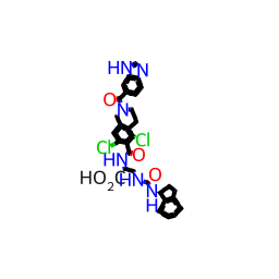 O=C(NC[C@H](NC(=O)c1c(Cl)cc2c(c1Cl)CCN(C(=O)c1ccc3nc[nH]c3c1)C2)C(=O)O)N[C@@H]1CCc2ccccc21